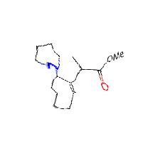 COC(=O)C(C)C1=CCCCC1N1CCCC1